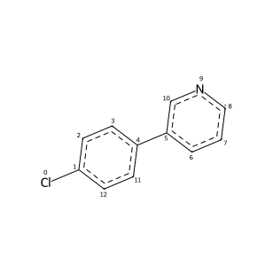 Clc1ccc(-c2cc[c]nc2)cc1